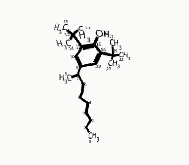 CCCCCCCC(C)c1cc(C(C)(C)C)c(O)c(C(C)(C)C)c1